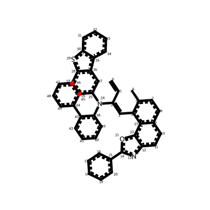 C=C/C(=C\c1c(C)ccc2ccc3nc(-c4ccccc4)oc3c12)N(c1ccc2sc3ccccc3c2c1)c1ccccc1-c1ccccc1